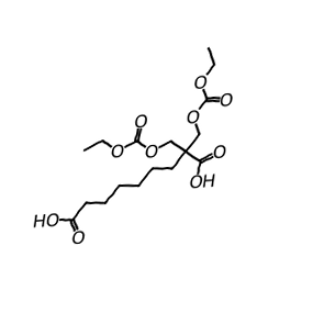 CCOC(=O)OCC(CCCCCCC(=O)O)(COC(=O)OCC)C(=O)O